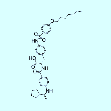 C=C(Nc1ccc(C(=O)N[C@@H](Cc2ccc(NS(=O)(=O)c3ccc(OCCCCCCC)cc3)cc2)C(=O)O)cc1)C1CCCC1